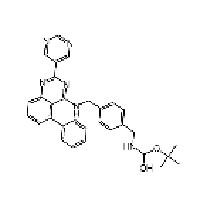 CC(C)(C)OC(O)NCc1ccc(CNc2nc(-c3cncnc3)nc3cccc(-c4ccccc4)c23)cc1